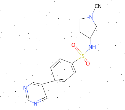 N#CN1CCC(NS(=O)(=O)c2ccc(-c3cncnc3)cc2)C1